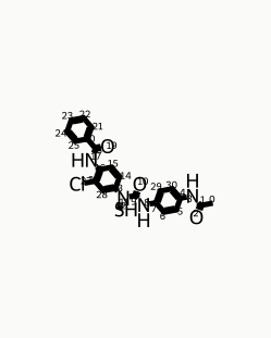 CC(=O)Nc1ccc(NC(=O)N(S)c2ccc(NC(=O)c3ccccc3)c(Cl)c2)cc1